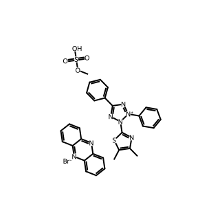 COS(=O)(=O)O.Cc1nc(-n2nc(-c3ccccc3)n[n+]2-c2ccccc2)sc1C.[Br-].c1ccc2nc3ccccc3nc2c1